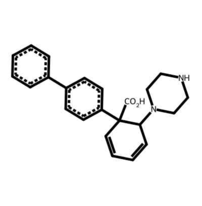 O=C(O)C1(c2ccc(-c3ccccc3)cc2)C=CC=CC1N1CCNCC1